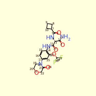 NC(=O)[C@@H](NC(=O)C1CCC1)C(=O)Nc1ccc(N2CCOCC2=O)cc1OC(F)F